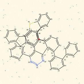 Cc1cc2c(c(-c3c(-c4ccccc4)nnnc3-c3c(-c4ccccc4-c4ccccc4)cccc3-c3cccc4sc5ccccc5c34)c1C)Cc1ccccc1-2